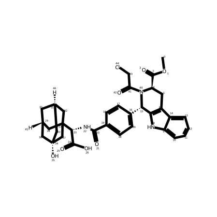 COC(=O)[C@H]1Cc2c([nH]c3ccccc23)[C@H](c2ccc(C(=O)N[C@H](C(=O)O)C34C[C@H]5C[C@@H](C3)C[C@](O)(C5)C4)cc2)N1C(=O)CCl